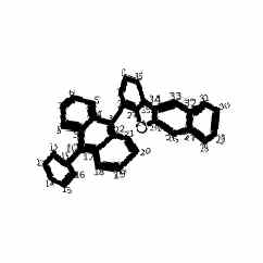 C1=CC(c2c3ccccc3c(-c3ccccc3)c3ccccc23)=C2Oc3cc4ccccc4cc3C2C1